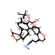 C/N=C\C=C1\CCOc2ccc(-c3c([C@H](OC(C)(C)C)C(=O)O)c(C)cc4c5c(ccc34)COC5)cc21